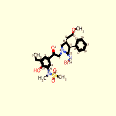 CCc1cc(C(=O)CN2C[C@H](CCOC)[C@@H](c3ccccc3)/C2=N/Br)cc(N(C)S(C)(=O)=O)c1O